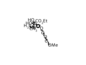 CCOC(=O)c1c(O)c(O)c(C(=O)N(C)C)n1-c1ccc(OCCOCCOCCOCCOC)cc1